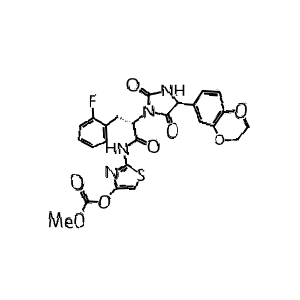 COC(=O)Oc1csc(NC(=O)[C@H](Cc2ccccc2F)N2C(=O)NC(c3ccc4c(c3)OCCO4)C2=O)n1